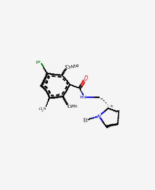 CCN1CCC[C@H]1CNC(=O)c1c(OC)c(Br)cc([N+](=O)[O-])c1OC